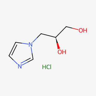 Cl.OC[C@@H](O)Cn1ccnc1